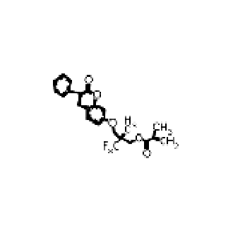 C=C(C)C(=O)OCC(C)(COc1ccc2cc(-c3ccccc3)c(=O)oc2c1)C(F)(F)F